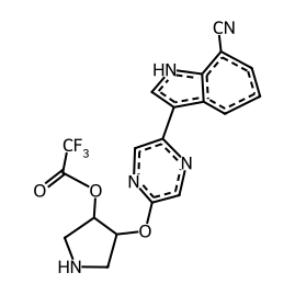 N#Cc1cccc2c(-c3cnc(OC4CNCC4OC(=O)C(F)(F)F)cn3)c[nH]c12